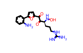 N=C(N)NCCC[C@H](NO)C(=O)C(=O)c1ccc(-c2ccccc2N)o1